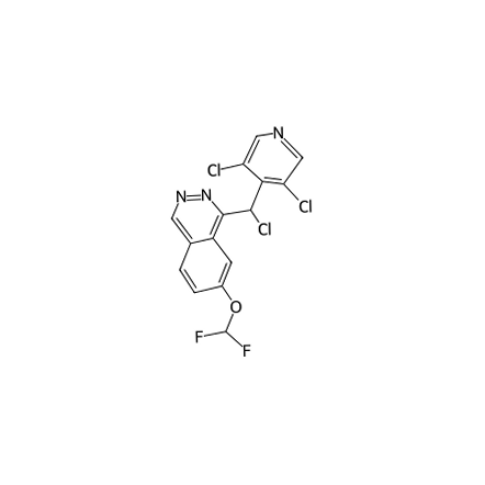 FC(F)Oc1ccc2cnnc(C(Cl)c3c(Cl)cncc3Cl)c2c1